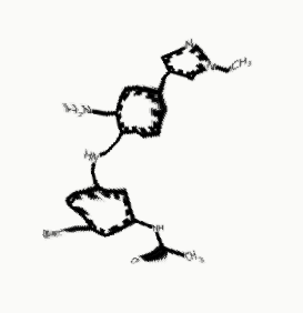 CC(=O)Nc1cc(Br)cc(Nc2ccc(-c3cnn(C)c3)cc2N)c1